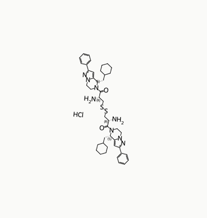 Cl.N[C@@H](CSSC[C@H](N)C(=O)N1CCn2nc(-c3ccccc3)cc2[C@@H]1CC1CCCCC1)C(=O)N1CCn2nc(-c3ccccc3)cc2[C@@H]1CC1CCCCC1